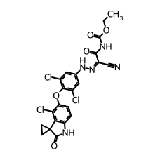 CCOC(=O)NC(=O)C(C#N)=NNc1cc(Cl)c(Oc2ccc3c(c2Cl)C2(CC2)C(=O)N3)c(Cl)c1